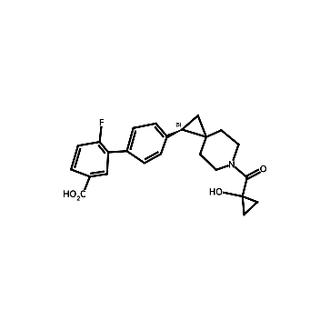 O=C(O)c1ccc(F)c(-c2ccc([C@H]3CC34CCN(C(=O)C3(O)CC3)CC4)cc2)c1